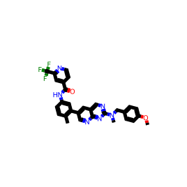 COc1ccc(CN(C)c2ncc3cc(-c4cc(NC(=O)c5ccnc(C(F)(F)F)c5)ccc4C)cnc3n2)cc1